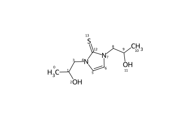 CC(O)Cn1ccn(CC(C)O)c1=S